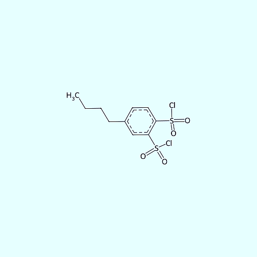 CCCCc1ccc(S(=O)(=O)Cl)c(S(=O)(=O)Cl)c1